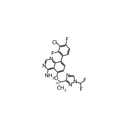 C[C@H](Oc1ccc(-c2ccc(F)c(Cl)c2F)c2ncnc(N)c12)c1ncn(C(F)F)n1